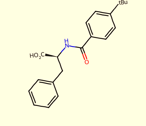 CC(C)(C)c1ccc(C(=O)N[C@@H](Cc2ccccc2)C(=O)O)cc1